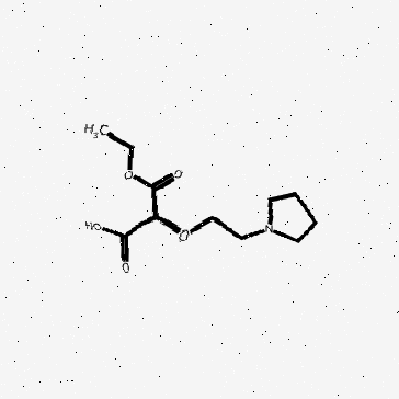 CCOC(=O)C(OCCN1CCCC1)C(=O)O